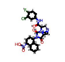 O=C(Nc1ccc(F)c(Cl)c1)C1C[N@@]2CC3C(=O)N(c4ccc([N+](=O)O)c5ccccc45)C(=O)[N+]13C2